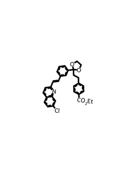 CCOC(=O)c1ccc(CCC2(c3cccc(C=Cc4ccc5ccc(Cl)cc5n4)c3)OCCO2)cc1